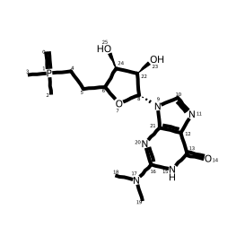 C=P(C)(C)CCC1O[C@@H](n2cnc3c(=O)[nH]c(N(C)C)nc32)[C@H](O)[C@@H]1O